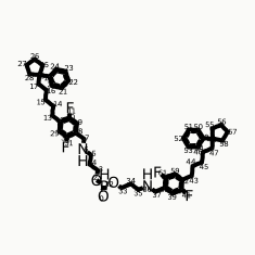 O=[PH](OCCCNCc1cc(F)c(CCCCCC2(c3ccccc3)CCCC2)cc1F)OCCCNCc1cc(F)c(CCCCCC2(c3ccccc3)CCCC2)cc1F